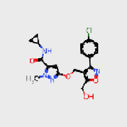 Cn1nc(OCc2c(-c3ccc(Cl)cc3)noc2CO)cc1C(=O)NC1CC1